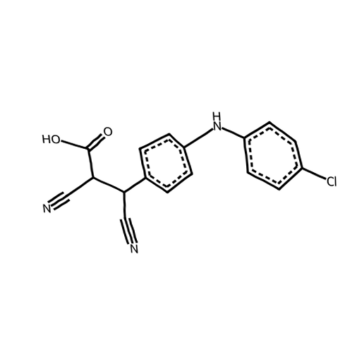 N#CC(C(=O)O)C(C#N)c1ccc(Nc2ccc(Cl)cc2)cc1